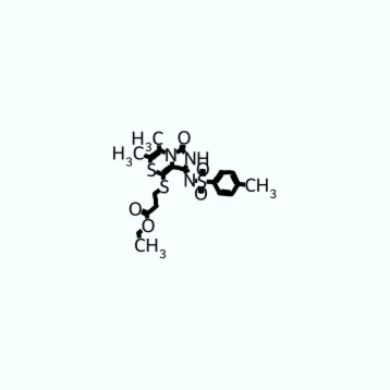 CCOC(=O)CCSc1sc(C)c(C)n2c(=O)[nH]/c(=N\S(=O)(=O)c3ccc(C)cc3)c1-2